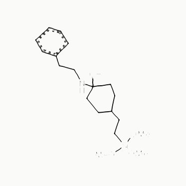 CO[Si](CCC1CCC(O)(NCCc2ccccc2)CC1)(OC)OC